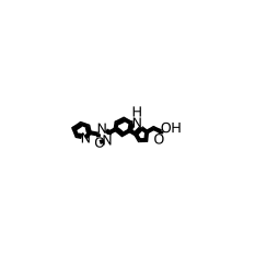 O=C(O)CC1CCc2c1[nH]c1ccc(-c3noc(-c4ccccn4)n3)cc21